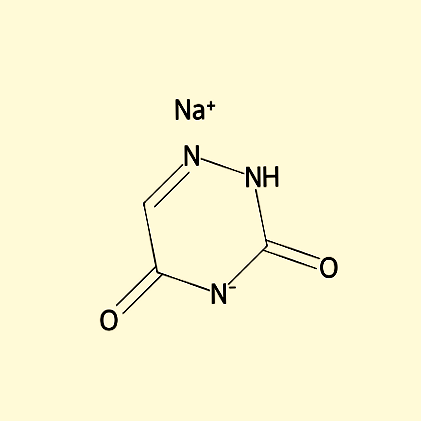 O=c1cn[nH]c(=O)[n-]1.[Na+]